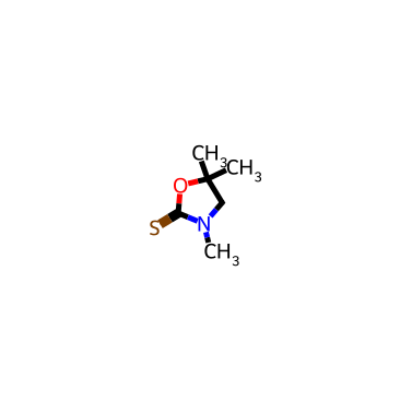 CN1CC(C)(C)OC1=S